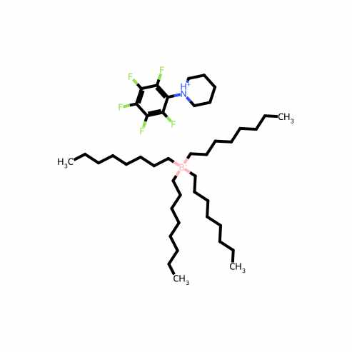 CCCCCCCC[B-](CCCCCCCC)(CCCCCCCC)CCCCCCCC.Fc1c(F)c(F)c([NH+]2CCCCC2)c(F)c1F